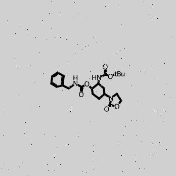 CC(C)(C)OC(=O)NC1CC(N2CCOC2=O)CCC1OC(=O)NCc1ccccc1